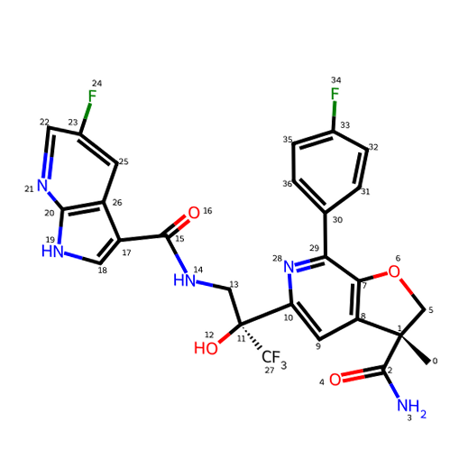 C[C@]1(C(N)=O)COc2c1cc([C@@](O)(CNC(=O)c1c[nH]c3ncc(F)cc13)C(F)(F)F)nc2-c1ccc(F)cc1